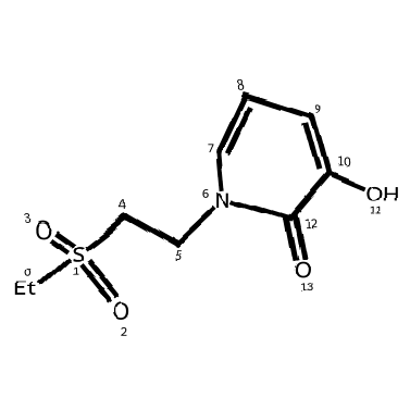 CCS(=O)(=O)CCn1cccc(O)c1=O